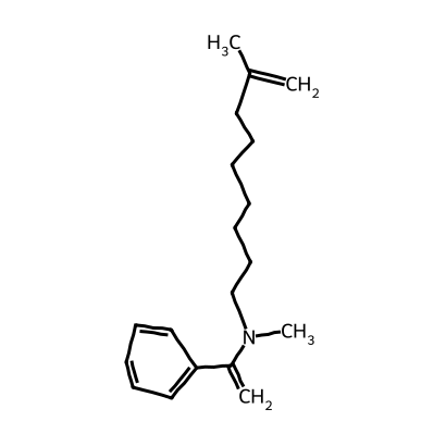 C=C(C)CCCCCCCN(C)C(=C)c1ccccc1